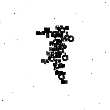 CNC(=N)NCCC[C@H](NC(=O)[C@H](CC(C)C)NC(=O)NNC(=O)[C@H](Cc1ccccc1)NC(=O)[C@@H](NC(=O)[C@H](CC(N)=O)NC(=O)[C@@H]1COCN1C(=O)[C@@H](Cc1ccc(O)cc1)NC(C)=O)[C@@H](C)O)C(=O)N[C@@H](Cc1c[nH]c2ccccc12)C(N)=O